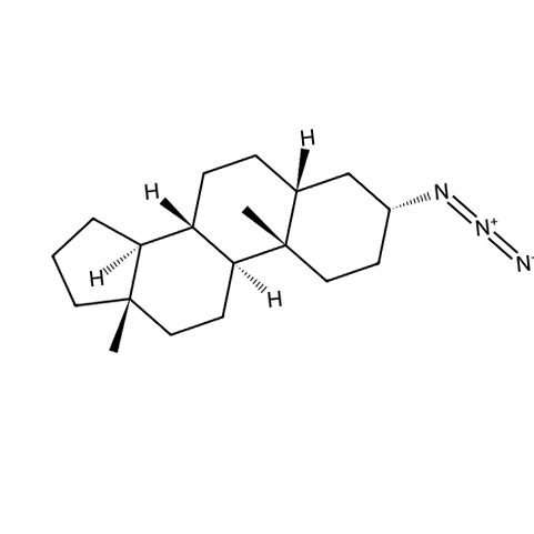 C[C@@]12CCC[C@H]1[C@@H]1CC[C@@H]3C[C@H](N=[N+]=[N-])CC[C@]3(C)[C@H]1CC2